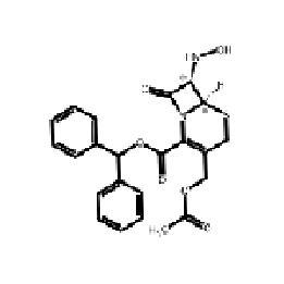 CC(=O)OCC1=C(C(=O)OC(c2ccccc2)c2ccccc2)N2C(=O)[C@@H](NO)[C@H]2SC1